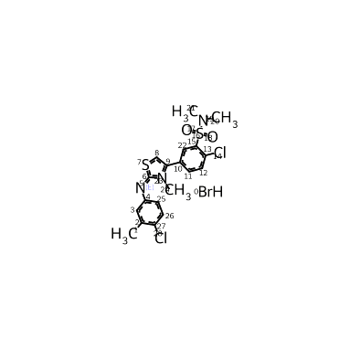 Br.Cc1cc(/N=c2/scc(-c3ccc(Cl)c(S(=O)(=O)N(C)C)c3)n2C)ccc1Cl